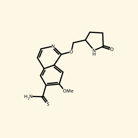 COc1cc2c(OCC3CCC(=O)N3)nccc2cc1C(N)=S